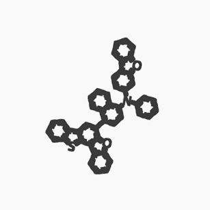 c1ccc(N(c2ccc3c(c2)oc2ccccc23)c2ccc(-c3cc4c5ccccc5sc4c4c3oc3ccccc34)c3ccccc23)cc1